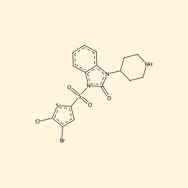 O=c1n(C2CCNCC2)c2ccccc2n1S(=O)(=O)c1cc(Br)c(Cl)s1